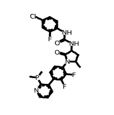 CC1CC(NC(=O)Nc2ccc(Cl)cc2F)C(=O)N1c1ccc(-c2cccnc2P(C)C)c(F)c1F